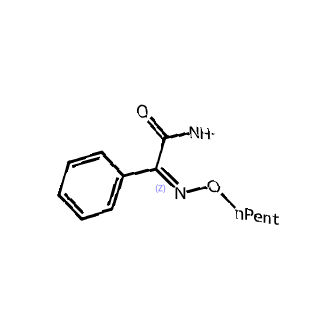 CCCCCO/N=C(\C([NH])=O)c1ccccc1